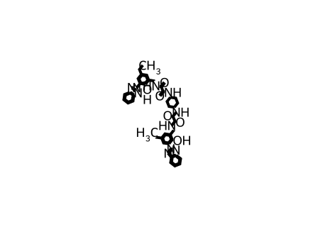 CCc1cc(CNC(=O)C(=O)NC2CCC(NC(=O)C(=O)NCc3cc(CC)cc(-n4nc5ccccc5n4)c3O)CC2)c(O)c(-n2nc3ccccc3n2)c1